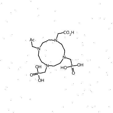 CC(=O)CN1CCN(CC(=O)O)CCN(CP(=O)(O)O)CCN(CP(=O)(O)O)CC1